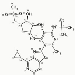 CCC(C)(C)Nc1nc(C)c(-c2nc3c(C4CC4)nccc3s2)c(NC2C[C@H](CS(C)(=O)=O)[C@@H](O)[C@H]2O)n1